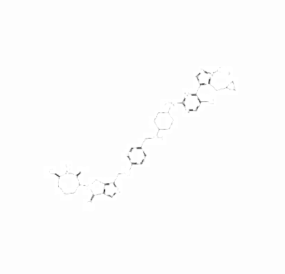 Cn1ncc(-c2nc(NC3CCC(NCc4ccc(OCc5scc6c5CN(C5CCCC(=O)NC5=O)C6=O)cc4)CC3)ncc2Cl)c1CC1CC1